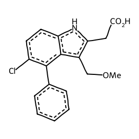 COCc1c(CC(=O)O)[nH]c2ccc(Cl)c(-c3ccccc3)c12